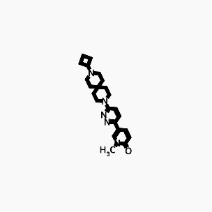 Cn1cc(-c2ccc(N3CCC4(CC3)CCN(C3CCC3)CC4)nn2)ccc1=O